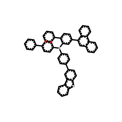 c1ccc(-c2ccc(N(c3ccc(-c4ccc5oc6ccccc6c5c4)cc3)c3cc(-c4cc5ccccc5c5ccccc45)ccc3-c3ccccc3)cc2)cc1